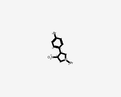 CC(C)N1CC(c2ccc(Br)cc2)C([N+](=O)[O-])C1